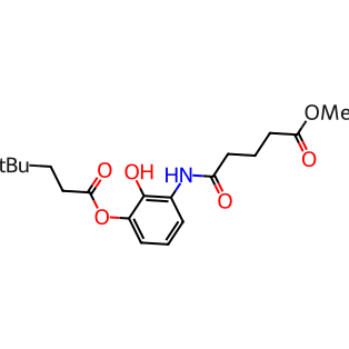 COC(=O)CCCC(=O)Nc1cccc(OC(=O)CCC(C)(C)C)c1O